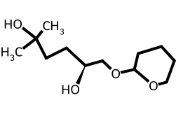 CC(C)(O)CC[C@H](O)COC1CCCCO1